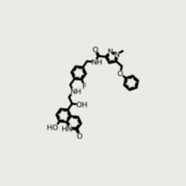 Cn1nc(C(=O)NCc2ccc(CNCC(O)c3ccc(O)c4[nH]c(=O)ccc34)c(F)c2)cc1COc1ccccc1